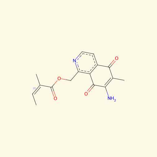 C/C=C(/C)C(=O)OCc1nccc2c1C(=O)C(N)=C(C)C2=O